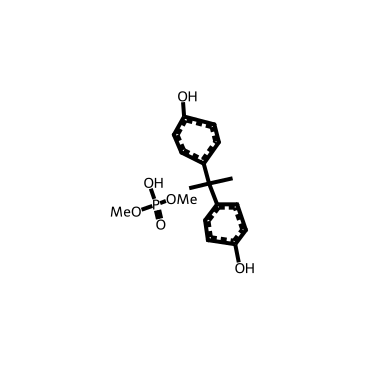 CC(C)(c1ccc(O)cc1)c1ccc(O)cc1.COP(=O)(O)OC